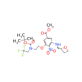 COC(=O)c1cc(NC[C@@H]2CCO2)c([N+](=O)[O-])c(OCCN(CC(F)(F)F)C(=O)OC(C)(C)C)c1